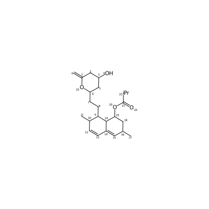 C=C1CC(O)CC(CCC2C(C)C=CC3=CC(C)CC(OC(=O)C(C)C)C32)O1